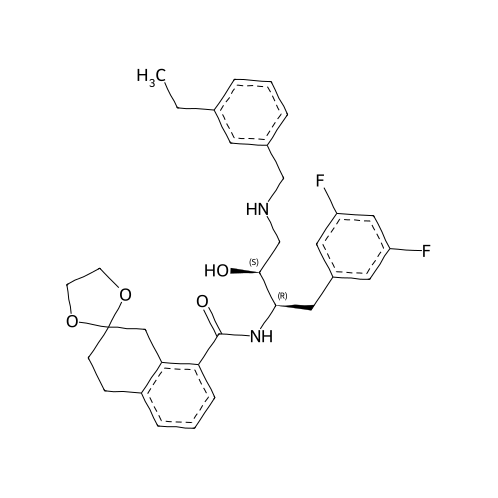 CCc1cccc(CNC[C@H](O)[C@@H](Cc2cc(F)cc(F)c2)NC(=O)c2cccc3c2CC2(CC3)OCCO2)c1